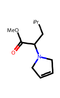 COC(=O)C(CC(C)C)N1CC=CC1